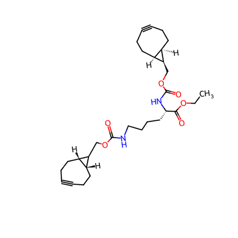 CCOC(=O)[C@H](CCCCNC(=O)OCC1[C@H]2CCC#CCC[C@@H]12)NC(=O)OC[C@@H]1[C@@H]2CCC#CCC[C@@H]21